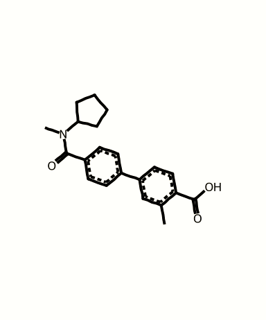 Cc1cc(-c2ccc(C(=O)N(C)C3CCCC3)cc2)ccc1C(=O)O